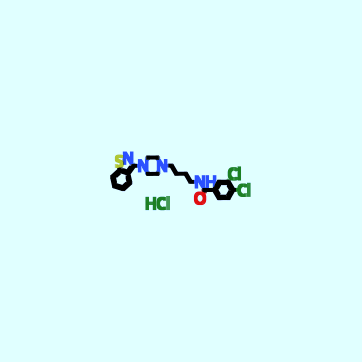 Cl.O=C(NCCCCN1CCN(c2nsc3ccccc23)CC1)c1ccc(Cl)c(Cl)c1